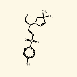 CCN(C=NS(=O)(=O)c1ccc(N)cc1)N1CC(C)(C)C=N1